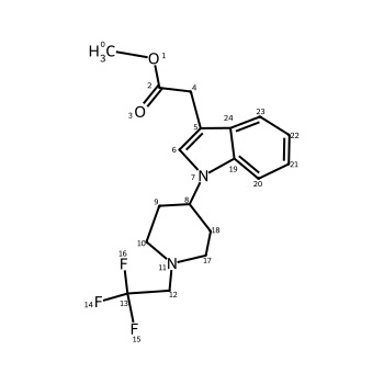 COC(=O)Cc1cn(C2CCN(CC(F)(F)F)CC2)c2ccccc12